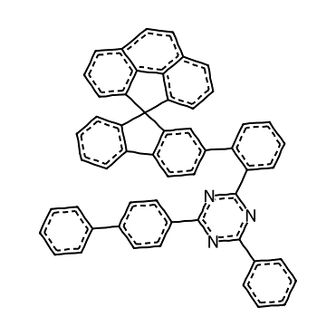 c1ccc(-c2ccc(-c3nc(-c4ccccc4)nc(-c4ccccc4-c4ccc5c(c4)C4(c6ccccc6-5)c5cccc6ccc7cccc4c7c56)n3)cc2)cc1